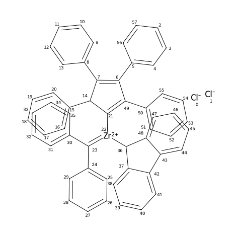 [Cl-].[Cl-].c1ccc(C2=C(c3ccccc3)C(c3ccccc3)[C]([Zr+2](=[C](c3ccccc3)c3ccccc3)[CH]3c4ccccc4-c4ccccc43)=C2c2ccccc2)cc1